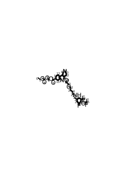 CCOC(=O)OCOC(=O)c1ccc2c(c1)nc(OCCOCCCCNCc1cc(F)c(OC(F)(F)F)c(F)c1)c1ccncc12